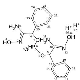 NC(=NO)C(O[PH](=O)OC(C(N)=NO)c1ccccc1)c1ccccc1.[H+].[H+]